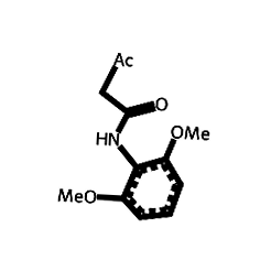 COc1cccc(OC)c1NC(=O)CC(C)=O